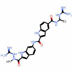 CCCN(NC(=N)N)C(=O)c1cc2ccc(NC(=O)c3cc4cc(C(=O)NC(CC)NC(=N)N)ccc4[nH]3)cc2[nH]1